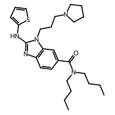 CCCCN(CCCC)C(=O)c1ccc2nc(Nc3cccs3)n(CCCN3CCCC3)c2c1